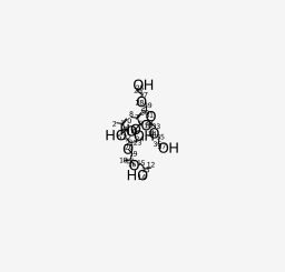 C=C(C)C(=O)O.C=C(C)C(=O)O.CC(O)COC(C)COC(C)CO.OCCOCCOCCOCCO